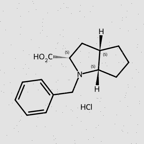 Cl.O=C(O)[C@@H]1C[C@@H]2CCC[C@@H]2N1Cc1ccccc1